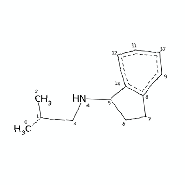 CC(C)CNC1CCc2ccccc21